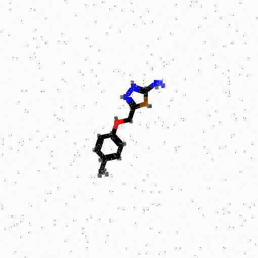 Nc1nnc(COc2ccc(C(F)(F)F)cc2)s1